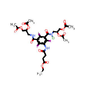 CCOC(=O)CCC(=O)Nc1c(I)c(C(=O)NCC(COC(C)=O)OC(C)=O)c(I)c(C(=O)N(Cl)CC(COC(C)=O)OC(C)=O)c1I